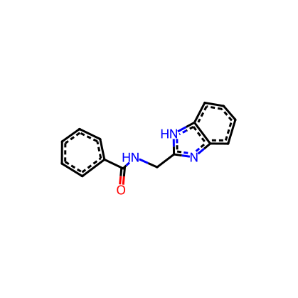 O=C(NCc1nc2ccccc2[nH]1)c1ccccc1